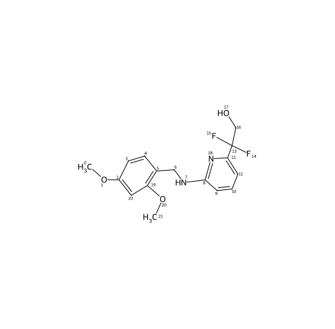 COc1ccc(CNc2cccc(C(F)(F)CO)n2)c(OC)c1